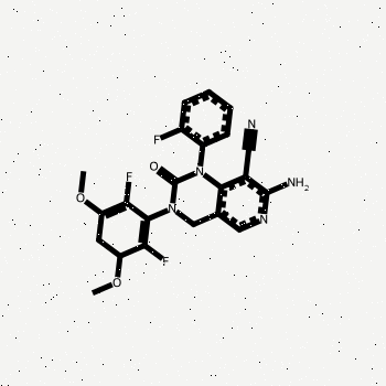 COC1=C(F)C(N2Cc3cnc(N)c(C#N)c3N(c3ccccc3F)C2=O)=C(F)C(OC)C1